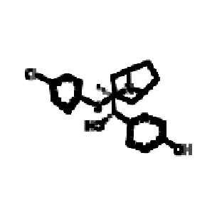 C[C@@H]([C@@H](O)c1ccc(O)cc1)N1C2CCC1CC(Sc1ccc(Cl)cc1)C2